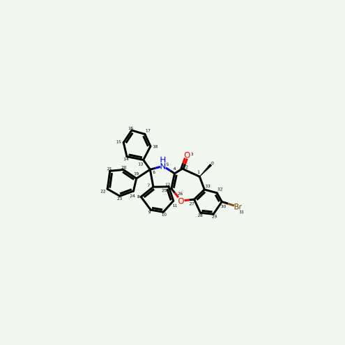 C[C@@H]1C(=O)C(NC(c2ccccc2)(c2ccccc2)c2ccccc2)=COc2ccc(Br)cc21